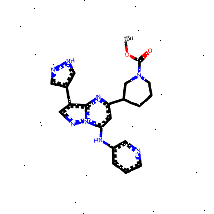 CC(C)(C)OC(=O)N1CCCC(c2cc(Nc3cccnc3)n3ncc(-c4cn[nH]c4)c3n2)C1